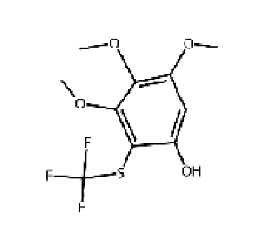 COc1cc(O)c(SC(F)(F)F)c(OC)c1OC